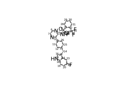 O=S(=O)(Nc1nccnc1-c1ccc(Cc2c[nH]c3ccc(F)cc23)cc1)c1ccccc1C(F)(F)F